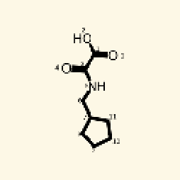 O=C(O)C(=O)NCC1CCCC1